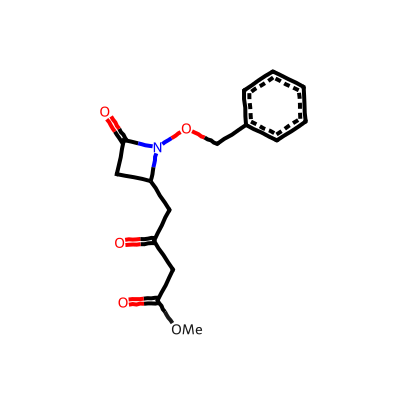 COC(=O)CC(=O)CC1CC(=O)N1OCc1ccccc1